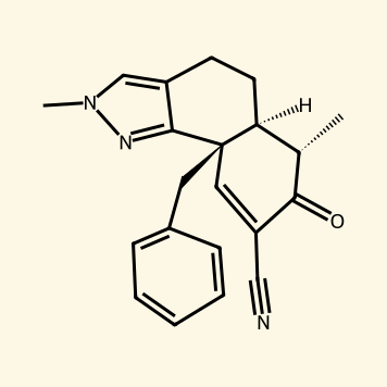 C[C@@H]1C(=O)C(C#N)=C[C@]2(Cc3ccccc3)c3nn(C)cc3CC[C@@H]12